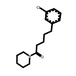 O=C(CCCCc1cccc(Cl)c1)N1CCCCC1